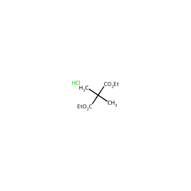 CCOC(=O)C(C)(C)C(=O)OCC.Cl